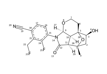 C[C@@]12C[C@H](O)[C@]3(CCO[C@H]4[C@@H]3[C@@H]1C(=O)N4c1ccc(C#N)c(CF)c1F)O2